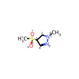 CN1CC(S(C)(=O)=O)C=N1